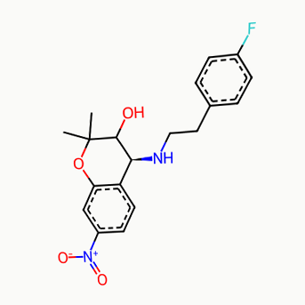 CC1(C)Oc2cc([N+](=O)[O-])ccc2[C@H](NCCc2ccc(F)cc2)C1O